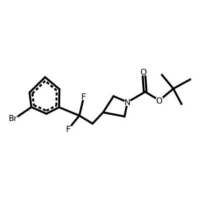 CC(C)(C)OC(=O)N1CC(CC(F)(F)c2cccc(Br)c2)C1